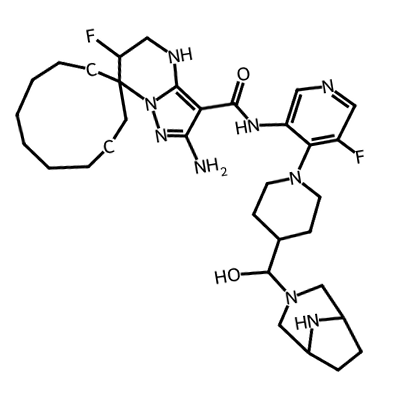 Nc1nn2c(c1C(=O)Nc1cncc(F)c1N1CCC(C(O)N3CC4CCC(C3)N4)CC1)NCC(F)C21CCCCCCCCC1